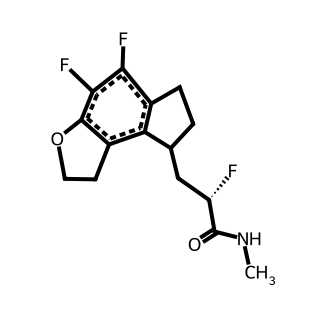 CNC(=O)[C@@H](F)CC1CCc2c(F)c(F)c3c(c21)CCO3